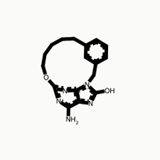 Nc1nc2nc3c1nc(O)n3Cc1cccc(c1)CCCCCO2